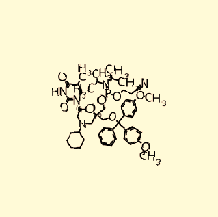 COc1ccc(C(OC[C@@]2(COP(OCCC#N)N(C(C)C)C(C)C)CN(C3CCCCC3)C[C@H](n3cc(C)c(=O)[nH]c3=O)O2)(c2ccccc2)c2ccc(OC)cc2)cc1